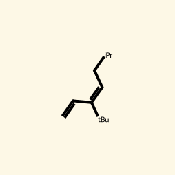 C=C/C(=C\CC(C)C)C(C)(C)C